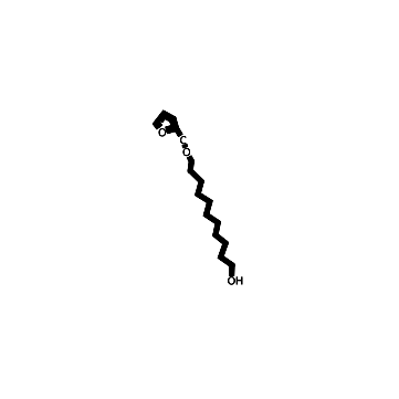 OCCCCCCCCCCCOCc1ccco1